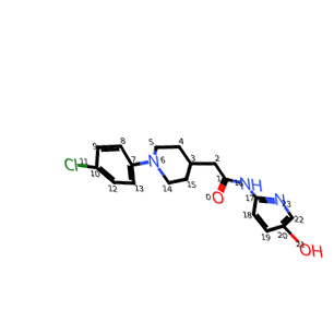 O=C(CC1CCN(c2ccc(Cl)cc2)CC1)Nc1ccc(O)cn1